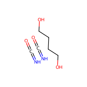 N=C=O.N=C=O.OCCCCO